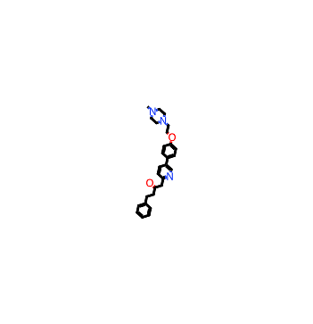 CN1CCN(CCOc2ccc(-c3ccc(CC(=O)CCc4ccccc4)nc3)cc2)CC1